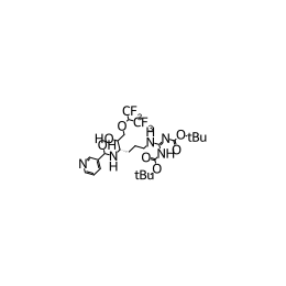 CC(C)(C)OC(=O)/N=C(/NCCC[C@H](NC(O)c1cccnc1)C(O)COC(C(F)(F)F)C(F)(F)F)NC(=O)OC(C)(C)C